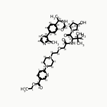 CCOC(=O)c1ccc(N2CCN(CCOCC(=O)NC(C(=O)N3C[C@H](O)C[C@H]3C(=O)NC(C)c3ccc(-c4scnc4C)cc3)C(C)(C)C)CC2)nc1